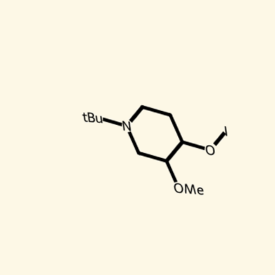 COC1CN(C(C)(C)C)CCC1OI